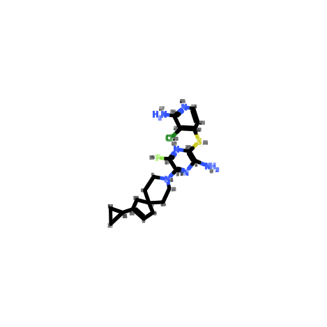 Nc1nc(N2CCC3(CC=C(C4CC4)C3)CC2)c(F)nc1Sc1ccnc(N)c1Cl